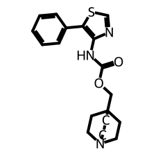 O=C(Nc1ncsc1-c1ccccc1)OCC12CCN(CC1)CC2